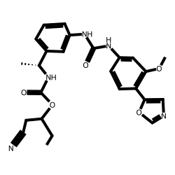 CCC(CC#N)OC(=O)N[C@H](C)c1cccc(NC(=O)Nc2ccc(-c3cnco3)c(OC)c2)c1